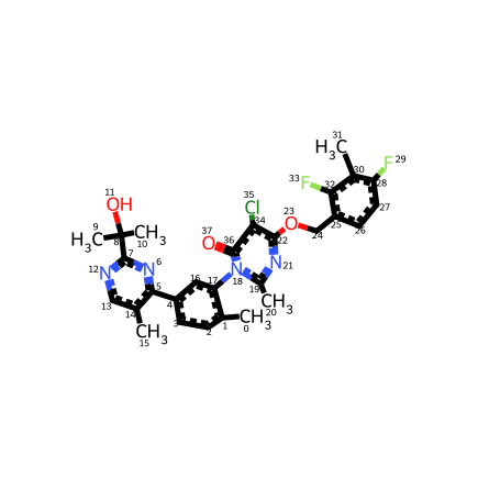 Cc1ccc(-c2nc(C(C)(C)O)ncc2C)cc1-n1c(C)nc(OCc2ccc(F)c(C)c2F)c(Cl)c1=O